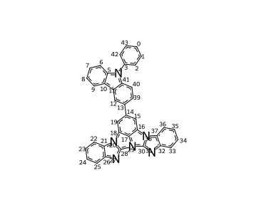 c1ccc(-n2c3ccccc3c3cc(-c4cc5c6c(c4)n4c7ccccc7nc4n6c4nc6ccccc6n54)ccc32)cc1